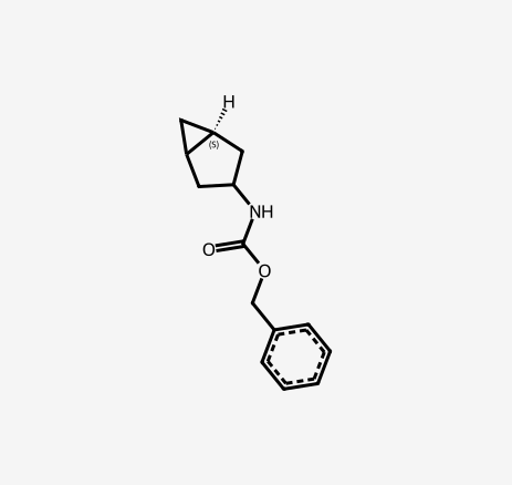 O=C(NC1CC2C[C@H]2C1)OCc1ccccc1